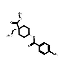 COC[C@]1(C(=O)OC(C)(C)C)CC[C@H](OC(=O)c2ccc([N+](=O)[O-])cc2)CC1